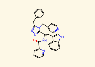 O=C(N[C@H](Cc1c[nH]c2ccccc12)c1nnc(Cc2ccccc2)n1Cc1ccncc1)c1ccccn1